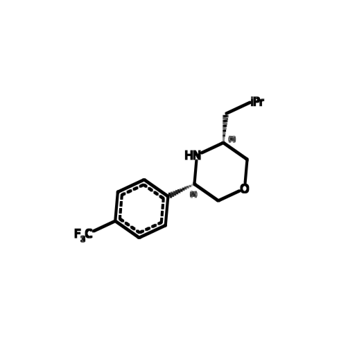 CC(C)C[C@@H]1COC[C@H](c2ccc(C(F)(F)F)cc2)N1